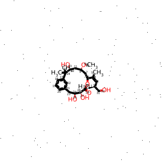 CC[C@@H](/C=C(/C)C1C[C@@H](OC)C[C@H](O)C(C)(C)c2cccc(c2)C[C@H](O)[C@@H](O)C(=O)O1)CO